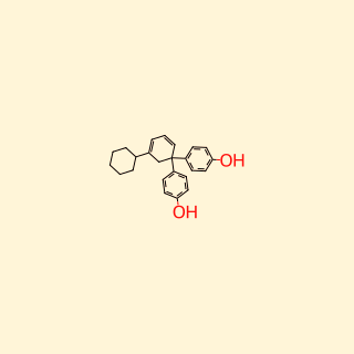 Oc1ccc(C2(c3ccc(O)cc3)C=CC=C(C3CCCCC3)C2)cc1